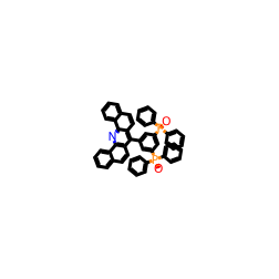 O=P(c1ccccc1)(c1ccccc1)c1cc(-c2c3ccc4ccccc4c3nc3c2ccc2ccccc23)cc(P(=O)(c2ccccc2)c2ccccc2)c1